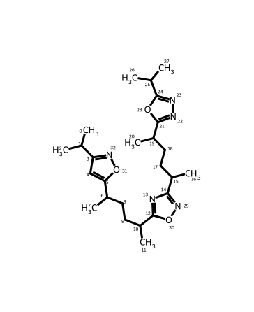 CC(C)c1cc(C(C)CCC(C)c2nc(C(C)CCC(C)c3nnc(C(C)C)o3)no2)on1